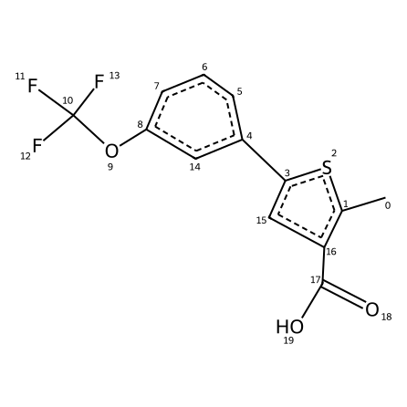 Cc1sc(-c2cccc(OC(F)(F)F)c2)cc1C(=O)O